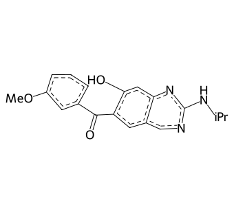 COc1cccc(C(=O)c2cc3cnc(NC(C)C)nc3cc2O)c1